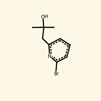 CC(C)(O)Cc1cccc(Br)n1